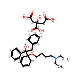 CCN(CC)CCCCOC1(C(O)(Cc2ccccc2)c2ccccc2)C=CC=CC1.O=C(O)CC(O)(CC(=O)O)C(=O)O